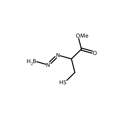 BN=NC(CS)C(=O)OC